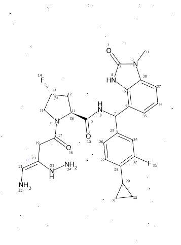 Cn1c(=O)[nH]c2c(C(NC(=O)[C@@H]3C[C@@H](F)CN3C(=O)C/C(=C/N)NN)c3ccc(C4CC4)c(F)c3)cccc21